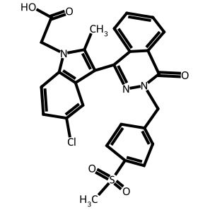 Cc1c(-c2nn(Cc3ccc(S(C)(=O)=O)cc3)c(=O)c3ccccc23)c2cc(Cl)ccc2n1CC(=O)O